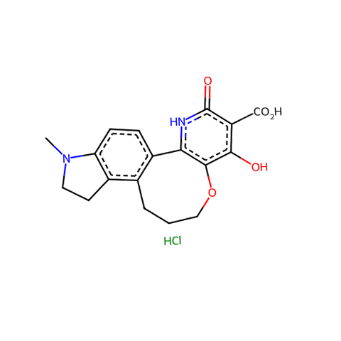 CN1CCc2c1ccc1c2CCCOc2c-1[nH]c(=O)c(C(=O)O)c2O.Cl